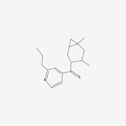 CCCc1cc(C(=S)C2CC3CC3(C)CC2C)ccn1